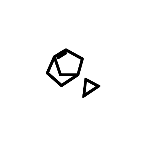 C1=C2CCC(C1)C2.C1CC1